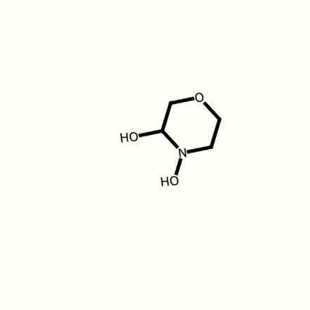 OC1COCCN1O